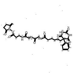 C=C1CCC(=O)N1OC(=O)CCNC(=O)CNC(=O)CNC(=O)CCCCCC1(c2ccccc2)C(=O)NC(=O)NC1=O